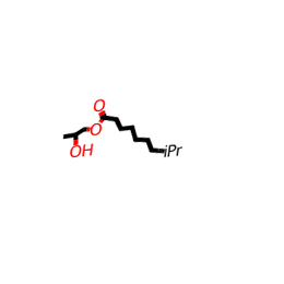 CC(C)CCCCCCC(=O)OCC(C)O